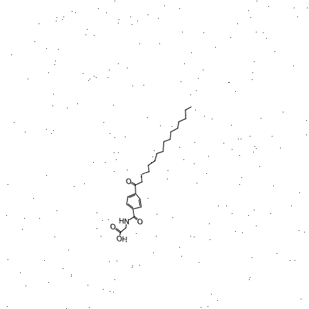 CCCCCCCCCCCCCCCC(=O)c1ccc(C(=O)NCC(=O)O)cc1